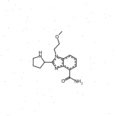 COCCn1c(C2CCCN2)nc2c(C(N)=O)cccc21